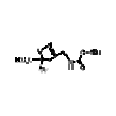 CCCC1(C(=O)OCC)CC(CNC(=O)OC(C)(C)C)=NO1